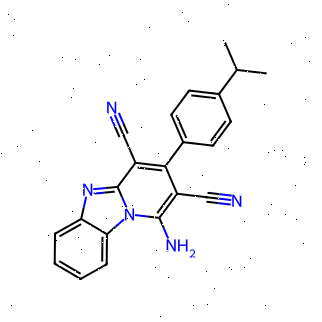 CC(C)c1ccc(-c2c(C#N)c(N)n3c(nc4ccccc43)c2C#N)cc1